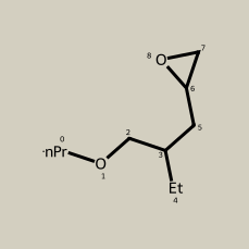 CC[CH]OCC(CC)CC1CO1